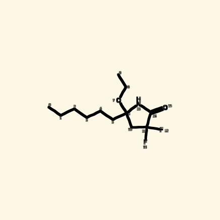 CCCCCCC1(OCC)CC(F)(F)C(=O)N1